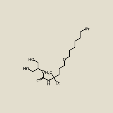 CCC(C)(CCCOCCCCCCC(C)C)NC(=O)OC(CO)CO